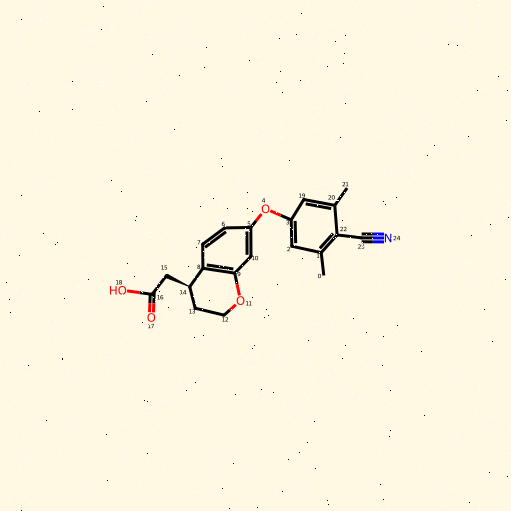 Cc1cc(Oc2ccc3c(c2)OCC[C@H]3CC(=O)O)cc(C)c1C#N